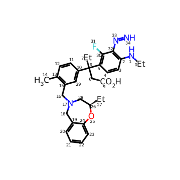 CCNc1ccc(C(CC)(CC(=O)O)c2ccc(C)c(CN3Cc4ccccc4O[C@H](CC)C3)c2)c(F)c1N=N